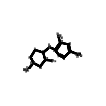 CN1CCC(Oc2ccc([N+](=O)[O-])cc2C(F)(F)F)C(F)C1